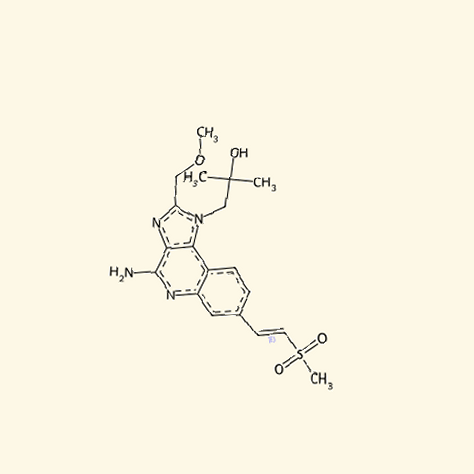 COCc1nc2c(N)nc3cc(/C=C/S(C)(=O)=O)ccc3c2n1CC(C)(C)O